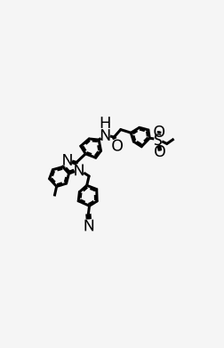 CCS(=O)(=O)c1ccc(CC(=O)Nc2ccc(-c3nc4ccc(C)cc4n3Cc3ccc(C#N)cc3)cc2)cc1